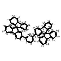 c1cc(-c2ccc3c(c2)C2(c4ccccc4-c4ccccc42)c2ccccc2-3)nc(-c2ccc3c(c2)C2(c4ccccc4-c4ccccc42)c2ccccc2-3)c1